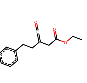 CCOC(=O)CC(=C=O)CCc1ccccc1